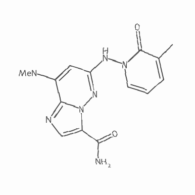 CNc1cc(Nn2cccc(C)c2=O)nn2c(C(N)=O)cnc12